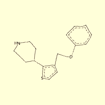 c1ccc(OCc2ccsc2C2CCNCC2)cc1